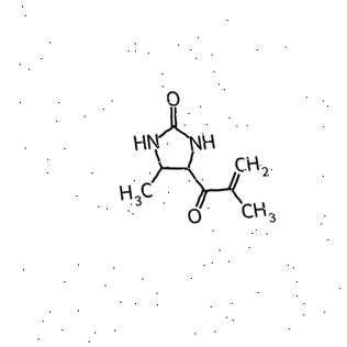 C=C(C)C(=O)C1NC(=O)NC1C